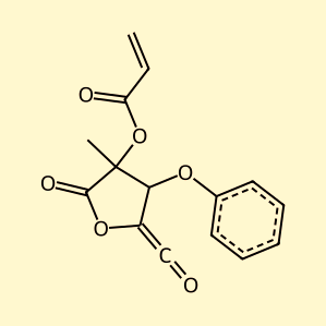 C=CC(=O)OC1(C)C(=O)OC(=C=O)C1Oc1ccccc1